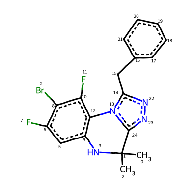 CC1(C)Nc2cc(F)c(Br)c(F)c2-n2c(Cc3ccccc3)nnc21